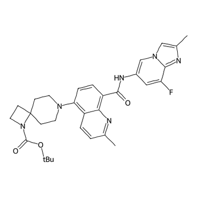 Cc1ccc2c(N3CCC4(CC3)CCN4C(=O)OC(C)(C)C)ccc(C(=O)Nc3cc(F)c4nc(C)cn4c3)c2n1